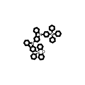 c1ccc([Si](c2ccccc2)(c2ccccc2)c2ccc(-n3c4ccccc4c4cc(-n5c6ccccc6c6ccc([Si]7(c8ccccc8)c8ccccc8Oc8ccccc87)cc65)ccc43)cc2)cc1